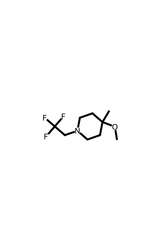 COC1(C)CCN(CC(F)(F)F)CC1